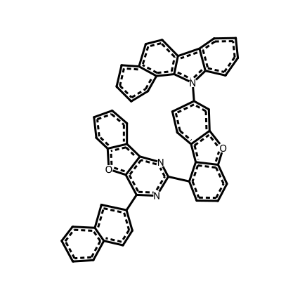 c1ccc2cc(-c3nc(-c4cccc5oc6cc(-n7c8ccccc8c8ccc9ccccc9c87)ccc6c45)nc4c3oc3ccccc34)ccc2c1